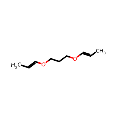 CC=COCCCOC=CC